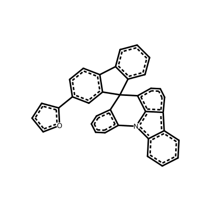 c1coc(-c2ccc3c(c2)C2(c4ccccc4-3)c3ccccc3-n3c4ccccc4c4cccc2c43)c1